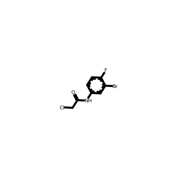 O=C(CCl)Nc1ccc(F)c(Br)c1